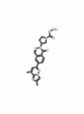 Cc1cn2nc(-c3ccc4c(=O)n(C5CCN(C(=O)OC(C)(C)C)C5)ncc4c3)cc(C)c2n1